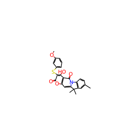 COc1cccc(Sc2c(O)c3c(=O)n4c(cc3oc2=O)C(C)(C)c2cc(C)ccc2-4)c1